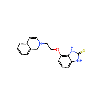 S=c1[nH]c2cccc(OCCN3C=Cc4ccccc4C3)c2[nH]1